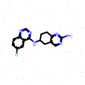 Nc1ncc2c(n1)CCC(Nc1ncnc3ccc(Cl)cc13)C2